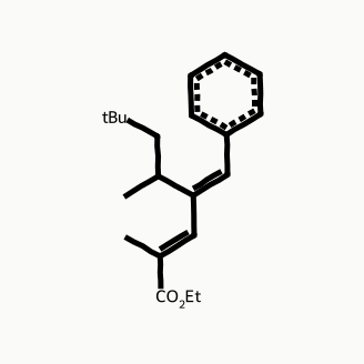 CCOC(=O)/C(C)=C/C(=C/c1ccccc1)C(C)CC(C)(C)C